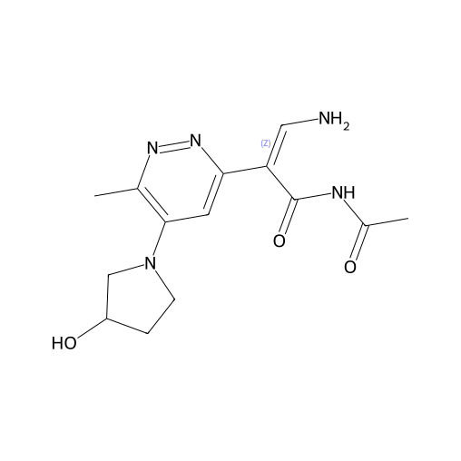 CC(=O)NC(=O)/C(=C\N)c1cc(N2CCC(O)C2)c(C)nn1